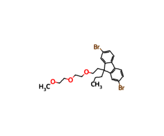 CCCC1(CCOCCOCCOC)c2cc(Br)ccc2-c2ccc(Br)cc21